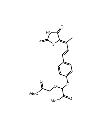 COC(=O)COC(Oc1ccc(C=CC(C)=C2SC(=S)NC2=O)cc1)C(=O)OC